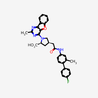 Cc1nc(N2C[C@@H](CC(=O)Nc3ccc(-c4ccc(F)cc4)c(C)c3)C[C@H]2C(=O)O)c2oc3ccccc3c2n1